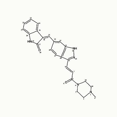 CN1CCN(C(=O)/C=C/c2n[nH]c3cc(/C=C4\C(=O)Nc5ccccc54)ccc23)CC1